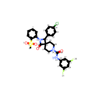 CS(=O)(=O)c1ccccc1N1C(=O)C2(CCN(C(=O)Nc3cc(F)cc(F)c3)CC2)C1c1ccc(Cl)cc1